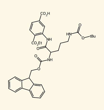 CCOC(=O)c1ccc(C(=O)O)cc1NC(=O)C(CCCNC(=O)OC(C)(C)C)NC(=O)OCC1c2ccccc2-c2ccccc21